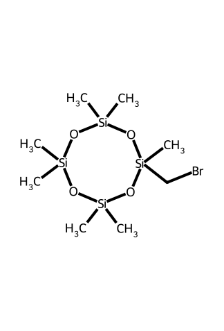 C[Si]1(C)O[Si](C)(C)O[Si](C)(CBr)O[Si](C)(C)O1